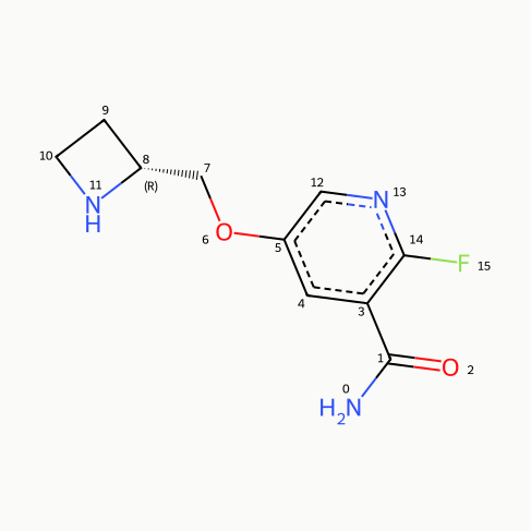 NC(=O)c1cc(OC[C@H]2CCN2)cnc1F